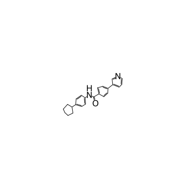 O=C(Nc1ccc(C2CCCCC2)cc1)c1ccc(-c2cccnc2)cc1